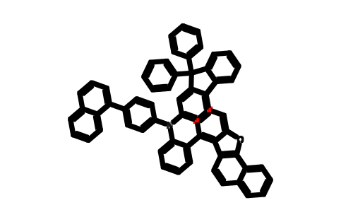 c1ccc(C2(c3ccccc3)c3ccccc3-c3ccc(N(c4ccc(-c5cccc6ccccc56)cc4)c4ccccc4-c4cccc5oc6c7ccccc7ccc6c45)cc32)cc1